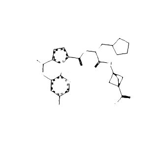 Cc1ncc(Cl)cc1N[C@@H](C)c1ccc(C(=O)N[C@@H](CC2CCCC2)C(=O)NC23CC(C(N)=O)(C2)C3)s1